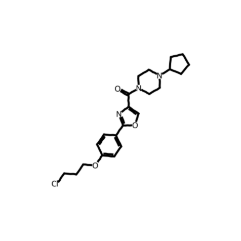 O=C(c1coc(-c2ccc(OCCCCl)cc2)n1)N1CCN(C2CCCC2)CC1